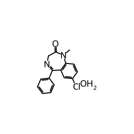 CN1C(=O)CN=C(c2ccccc2)c2cc(Cl)ccc21.O